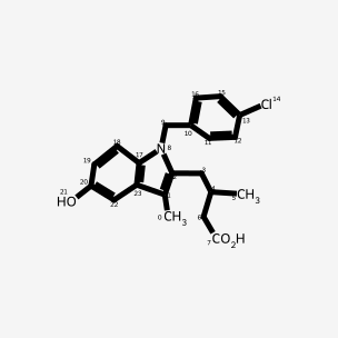 Cc1c(CC(C)CC(=O)O)n(Cc2ccc(Cl)cc2)c2ccc(O)cc12